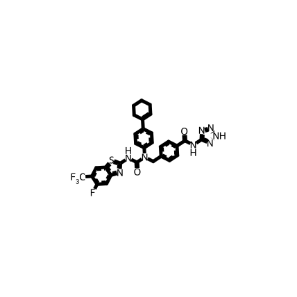 O=C(Nc1nn[nH]n1)c1ccc(CN(C(=O)Nc2nc3cc(F)c(C(F)(F)F)cc3s2)c2ccc(C3=CCCCC3)cc2)cc1